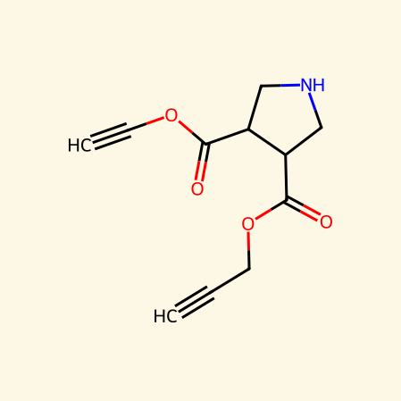 C#CCOC(=O)C1CNCC1C(=O)OC#C